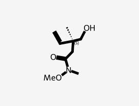 C=C[C@@](C)(CO)CC(=O)N(C)OC